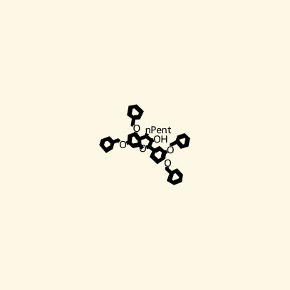 CCCCCC1c2c(OCc3ccccc3)cc(OCc3ccccc3)cc2OC(c2ccc(OCc3ccccc3)c(OCc3ccccc3)c2)C1O